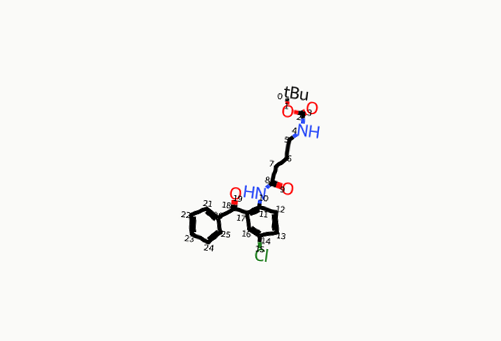 CC(C)(C)OC(=O)NCCCC(=O)Nc1ccc(Cl)cc1C(=O)c1ccccc1